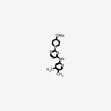 COC1CCN(c2nccc(Nc3cc(C)c(C)cn3)n2)CC1